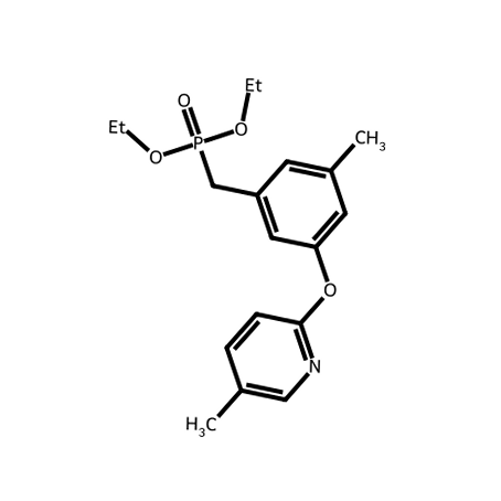 CCOP(=O)(Cc1cc(C)cc(Oc2ccc(C)cn2)c1)OCC